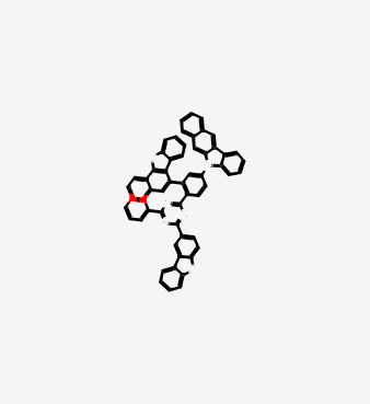 c1ccc(-c2nc(-c3ccc4oc5ccccc5c4c3)nc(-c3ccc(-n4c5ccccc5c5cc6ccccc6cc54)cc3-c3cc4ccccc4c4oc5ccccc5c34)n2)cc1